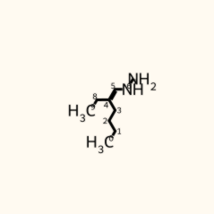 CCCC/C(=C\NN)CC